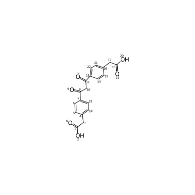 O=C(O)Cc1ccc(C(=O)CC(=O)c2ccc(CC(=O)O)cc2)cc1